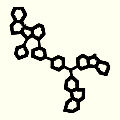 c1ccc(-c2c3c(-c4cccc(-c5ccc(N(c6ccc7c(ccc8ccccc87)c6)c6ccc7sc8ccccc8c7c6)cc5)c4)cccc3n3c2ccc2ccccc23)cc1